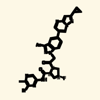 CC(=O)c1nn(CC(=O)N2C[C@H](F)C[C@H]2C(=O)Nc2cnc(C)c(Br)n2)c2ccc(-c3cnc4cc(C5CC5)nn4c3)cc12